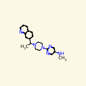 CNc1cnc(N2CCN(C(C)c3ccc4cccnc4c3)CC2)nc1